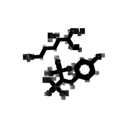 NCCCC[C@H](N)C(=O)O.O=P(O)(O)C(Sc1ccc(Cl)cc1)P(=O)(O)O.[NaH]